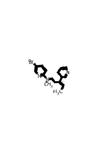 C/C=C(\CCN(C)c1ccc(Br)cn1)C1C=NC=CC1